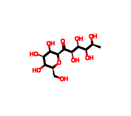 C[C@H](O)[C@@H](O)[C@@H](O)[C@H](O)C(=O)[C@H]1O[C@H](CO)[C@@H](O)[C@H](O)[C@H]1O